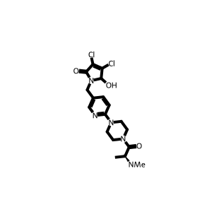 CN[C@@H](C)C(=O)N1CCN(c2ccc(CN3C(=O)C(Cl)=C(Cl)C3O)cn2)CC1